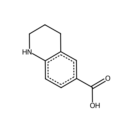 O=C(O)c1ccc2c(c1)CCCN2